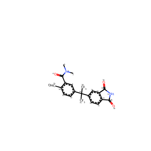 CN(C)C(=O)c1cc(C(c2ccc3c(c2)C(=O)NC3=O)(C(F)(F)F)C(F)(F)F)ccc1C=O